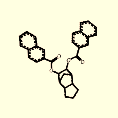 O=C(OC1C2CC(C3CCCC32)C1OC(=O)c1ccc2ccccc2c1)c1ccc2ccccc2c1